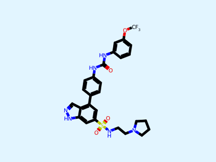 O=C(Nc1ccc(-c2cc(S(=O)(=O)NCCN3CCCC3)cc3[nH]ncc23)cc1)Nc1cccc(OC(F)(F)F)c1